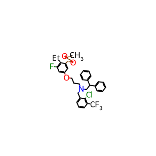 CCc1c(F)cc(OCCCN(Cc2cccc(C(F)(F)F)c2Cl)CC(c2ccccc2)c2ccccc2)cc1S(C)(=O)=O